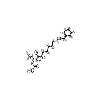 CN(C)CC(CC(=O)O)NC(=O)CCCCCCCOCc1ccccc1